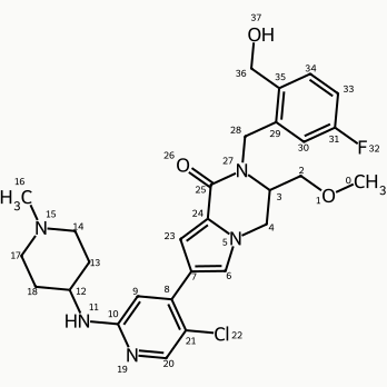 COCC1Cn2cc(-c3cc(NC4CCN(C)CC4)ncc3Cl)cc2C(=O)N1Cc1cc(F)ccc1CO